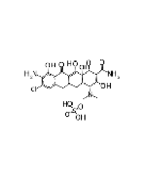 CN(C)C1C(O)=C(C(N)=O)C(=O)C2(O)C(O)=C3C(=O)c4c(cc(Cl)c(N)c4O)CC3CC12.O=S(=O)(O)O